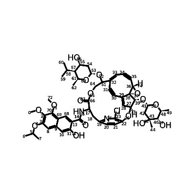 COc1c(OC(C)C)cc2cc(O)c(C(=O)NC3Cc4ccc(c(Cl)n4)O[C@H]4C=C5C#C/C(=C\C#C[C@@H]6O[C@]56[C@@H]4O[C@H]4C[C@@](C)(O)[C@@H](O)[C@H](C)O4)C(O[C@H]4C[C@H](O)[C@H](C(C)C)[C@H](C)O4)COC3=O)cc2c1OC